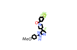 CO[C@H]1CC[C@@H](c2nc3c(C4CCN(C(=O)c5ccc(S(F)(F)(F)(F)F)cc5)CC4)c(F)cnc3[nH]2)CC1